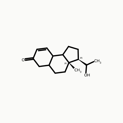 CC(O)[C@@H]1CCC2C3C=CC(=O)CC3CC[C@]21C